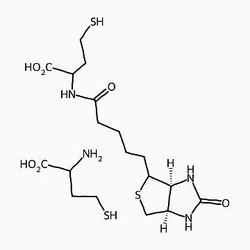 NC(CCS)C(=O)O.O=C(CCCCC1SC[C@@H]2NC(=O)N[C@H]12)NC(CCS)C(=O)O